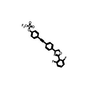 O=S(=O)(Oc1ccc(C#Cc2ccc(C3COC(c4c(F)cccc4F)=N3)cc2)cc1)C(F)(F)F